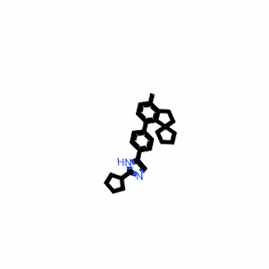 Cc1ccc(-c2ccc(-c3cnc(C4CCCC4)[nH]3)cc2)c2c1CCC21CCCC1